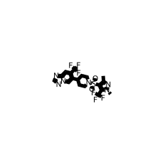 Cc1nn(C)c(C(F)(F)F)c1S(=O)(=O)N1CCC(c2cn3ncnc3cc2C(F)(F)F)CC1